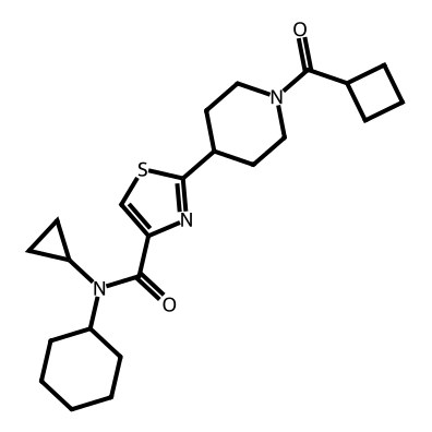 O=C(C1CCC1)N1CCC(c2nc(C(=O)N(C3CCCCC3)C3CC3)cs2)CC1